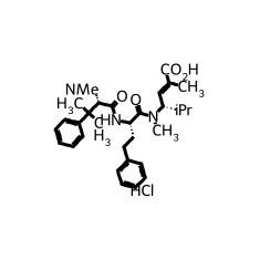 CN[C@H](C(=O)N[C@@H](CCc1ccccc1)C(=O)N(C)[C@H](/C=C(\C)C(=O)O)C(C)C)C(C)(C)c1ccccc1.Cl